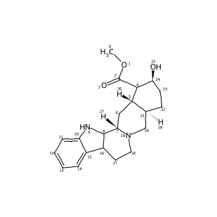 COC(=O)C1[C@H]2C[C@H]3C4Nc5ccccc5C4CCN3C[C@@H]2CC[C@@H]1O